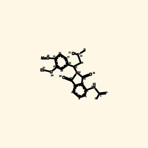 C=C(C)Nc1cccc2c1C(=O)N(C(C[S+](C)[O-])c1ccc(OC)c(OCC)c1)C2=O